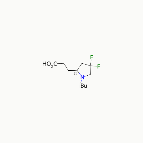 CCC(C)N1CC(F)(F)C[C@@H]1CCC(=O)O